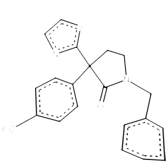 Cc1ccc(C2(c3nccs3)CCN(Cc3ccccc3)C2=O)cc1